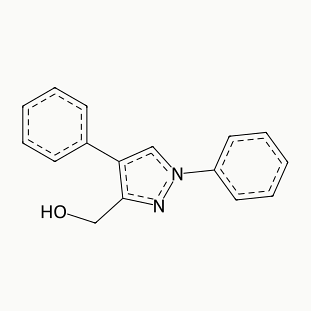 OCc1nn(-c2ccccc2)cc1-c1ccccc1